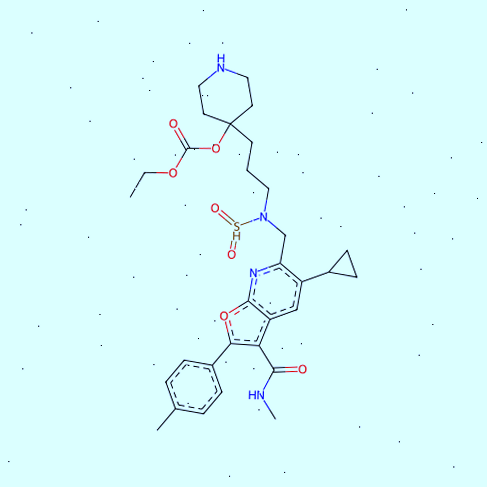 CCOC(=O)OC1(CCCN(Cc2nc3oc(-c4ccc(C)cc4)c(C(=O)NC)c3cc2C2CC2)[SH](=O)=O)CCNCC1